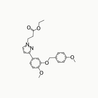 CCOC(=O)CCn1ccc(-c2ccc(OC)c(OCc3ccc(OC)cc3)c2)n1